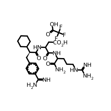 N=C(N)NCCCC(NC(=O)C(CC(=O)O)NC(=O)[C@@H](Cc1ccc(C(=N)N)cc1)C1CCCCC1)C(N)=O.O=C(O)C(F)(F)F